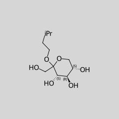 CC(C)CCOC1(CO)OC[C@H](O)[C@@H](O)[C@@H]1O